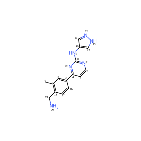 Cc1cc(-c2ccnc(Nc3cn[nH]c3)n2)ccc1CN